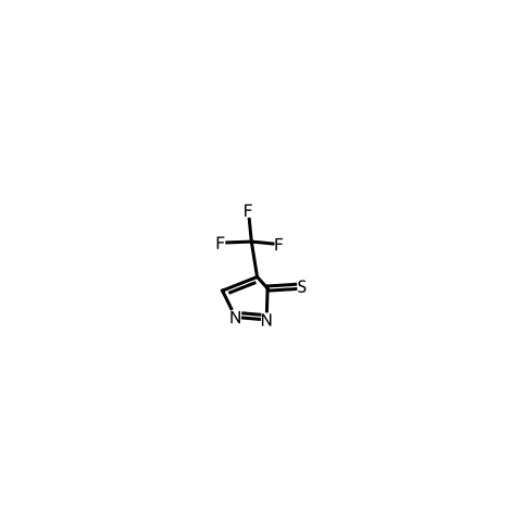 FC(F)(F)C1=CN=NC1=S